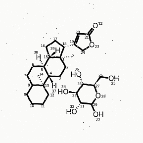 C[C@]12CC[C@H]3[C@@H](CCC4CCCC[C@@]43C)[C@@H]1CC[C@@H]2C1=CC(=O)OC1.OC[C@H]1OC(O)[C@H](O)[C@@H](O)[C@@H]1O